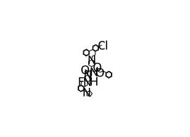 O=C(N[C@@H](C(=O)N1CCN(Cc2c(F)cccc2N2CCCC2)CC1)C1CCN(CCc2cc(Cl)ccc2-c2ccccc2)CC1)OCc1ccccc1